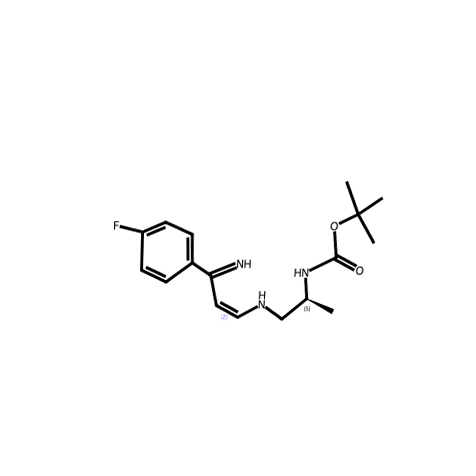 C[C@@H](CN/C=C\C(=N)c1ccc(F)cc1)NC(=O)OC(C)(C)C